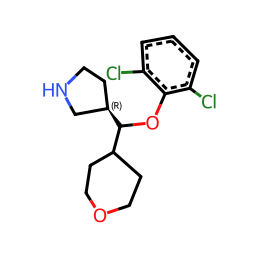 Clc1cccc(Cl)c1OC(C1CCOCC1)[C@@H]1CCNC1